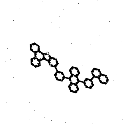 c1cc(-c2ccc3oc4c5ccccc5c5ccccc5c4c3c2)cc(-c2c3ccccc3c(-c3cccc(-c4cccc5ccccc45)c3)c3ccccc23)c1